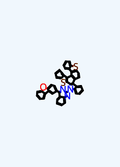 c1ccc2c(-c3ccc4oc5ccccc5c4c3)nc(-n3c4ccccc4c4c5ccc6sc7ccccc7c6c5c5c6ccccc6sc5c43)nc2c1